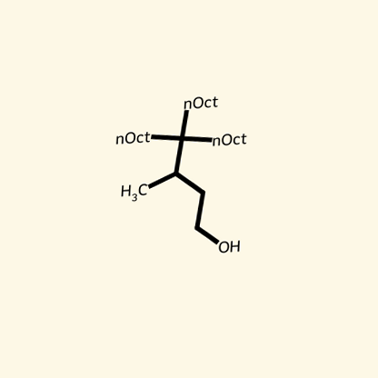 CCCCCCCCC(CCCCCCCC)(CCCCCCCC)C(C)CCO